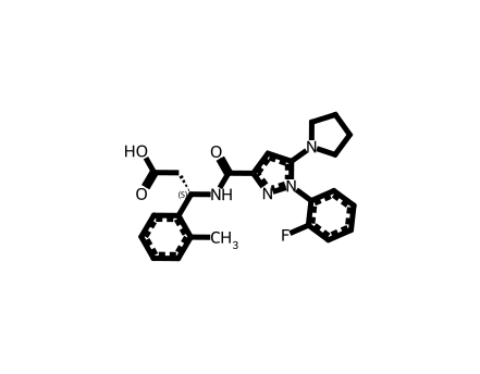 Cc1ccccc1[C@H](CC(=O)O)NC(=O)c1cc(N2CCCC2)n(-c2ccccc2F)n1